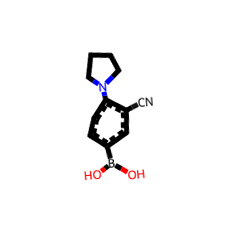 N#Cc1cc(B(O)O)ccc1N1CCCC1